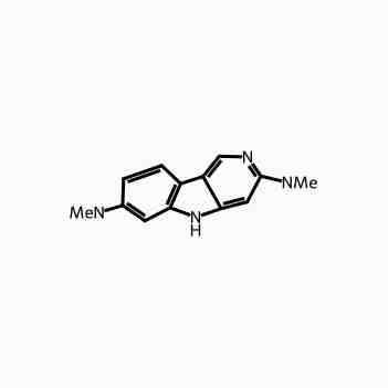 CNc1ccc2c(c1)[nH]c1cc(NC)ncc12